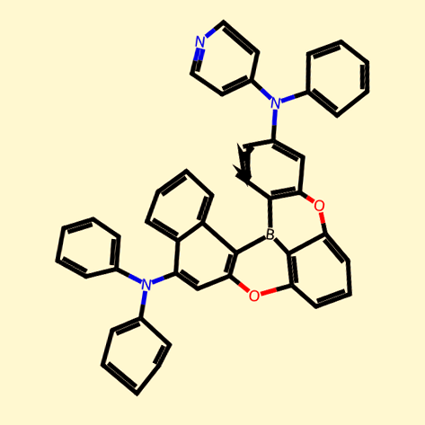 c1ccc(N(c2ccccc2)c2cc3c(c4ccccc24)B2c4c(cccc4Oc4cc(N(c5ccccc5)c5ccncc5)c5ccccc5c42)O3)cc1